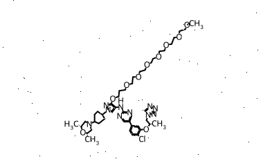 COCCOCCOCCOCCOCCOCCOCCCOc1nn(C2CCC(N3C[C@@H](C)O[C@@H](C)C3)CC2)cc1Nc1ncc(-c2ccc(Cl)c(O[C@@H](C)Cn3cnnn3)c2)cn1